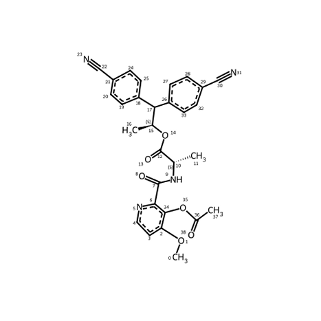 COc1ccnc(C(=O)N[C@@H](C)C(=O)O[C@@H](C)C(c2ccc(C#N)cc2)c2ccc(C#N)cc2)c1OC(C)=O